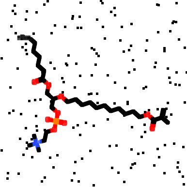 C=C(C)C(=O)OCCCCCCCCCCCO[C@H](COC(=O)CCCCCCCCCCCCCCC)COP(=O)([O-])OCC[N+](C)(C)C